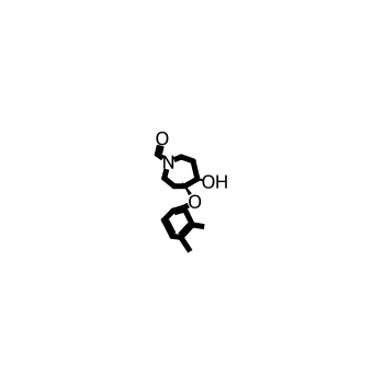 Cc1cccc(O[C@H]2CCN(C=O)CC[C@@H]2O)c1C